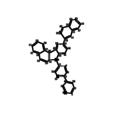 c1cncc(-c2ccc(-n3c4ccc(-c5cc6ccccc6cn5)cc4c4c5ccccc5ccc43)cn2)c1